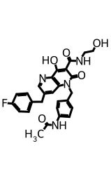 CC(=O)Nc1ccc(Cn2c(=O)c(C(=O)NCCO)c(O)c3ncc(Cc4ccc(F)cc4)cc32)cc1